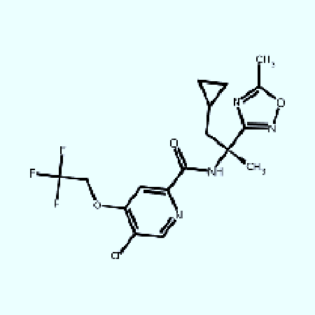 Cc1nc([C@@](C)(CC2CC2)NC(=O)c2cc(OCC(F)(F)F)c(Cl)cn2)no1